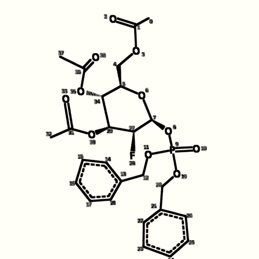 CC(=O)OC[C@H]1O[C@@H](OP(=O)(OCc2ccccc2)OCc2ccccc2)[C@@H](F)[C@@H](OC(C)=O)[C@@H]1OC(C)=O